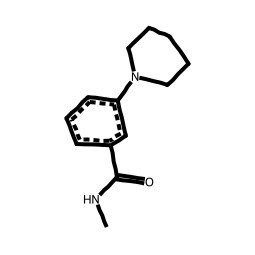 CNC(=O)c1cccc(N2CCCCC2)c1